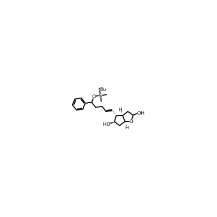 CC(C)(C)[Si](C)(C)OC(CC/C=C/[C@@H]1[C@H]2CC(O)O[C@H]2C[C@H]1O)c1ccccc1